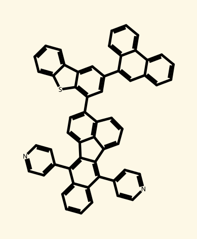 c1ccc2c(c1)cc(-c1cc(-c3ccc4c5c(cccc35)-c3c-4c(-c4ccncc4)c4ccccc4c3-c3ccncc3)c3sc4ccccc4c3c1)c1ccccc12